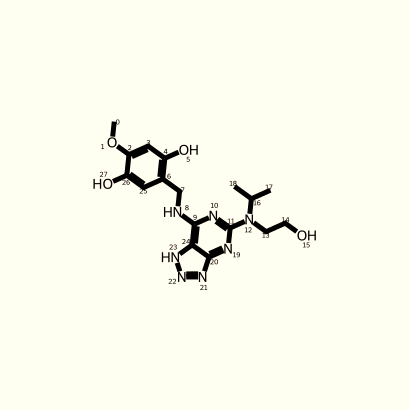 COc1cc(O)c(CNc2nc(N(CCO)C(C)C)nc3nn[nH]c23)cc1O